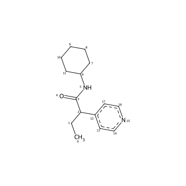 CCC(C(=O)NC1CCCCC1)c1ccncc1